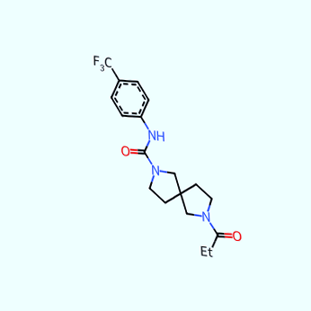 CCC(=O)N1CCC2(CCN(C(=O)Nc3ccc(C(F)(F)F)cc3)C2)C1